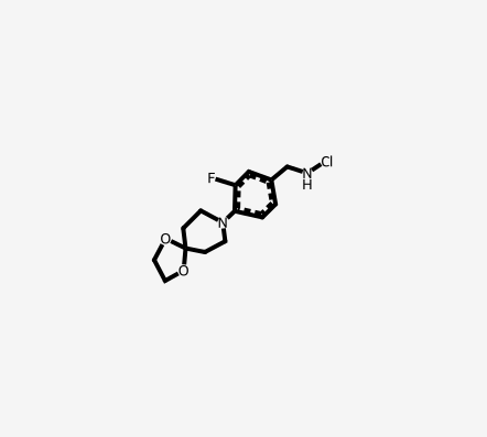 Fc1cc(CNCl)ccc1N1CCC2(CC1)OCCO2